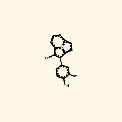 CCc1c(-c2ccc(O)c(F)c2)c2ccc3cccc1n32